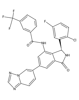 O=C(Nc1cc(-c2ccc3ncnn3c2)cc2c1[C@@H](c1cc(F)ccc1Cl)NC2=O)c1cccc(C(F)(F)F)c1